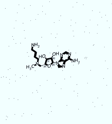 CN(CC=CCN)C[C@H]1O[C@@H](n2cnc3c(N)ncnc32)[C@H](O)[C@@H]1O